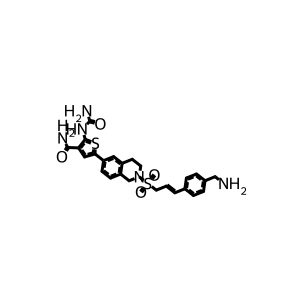 NCc1ccc(C=CCS(=O)(=O)N2CCc3cc(-c4cc(C(N)=O)c(NC(N)=O)s4)ccc3C2)cc1